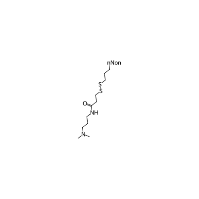 CCCCCCCCCCCCSSCCC(=O)NCCCN(C)C